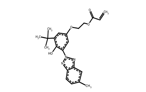 C=CC(=O)OCCOc1cc(-n2nc3ccc(C)cc3n2)c(O)c(C(C)(C)C)c1